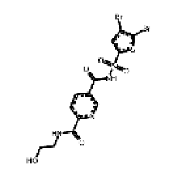 O=C(NS(=O)(=O)c1cc(Br)c(Br)s1)c1ccc(C(=O)NCCO)nc1